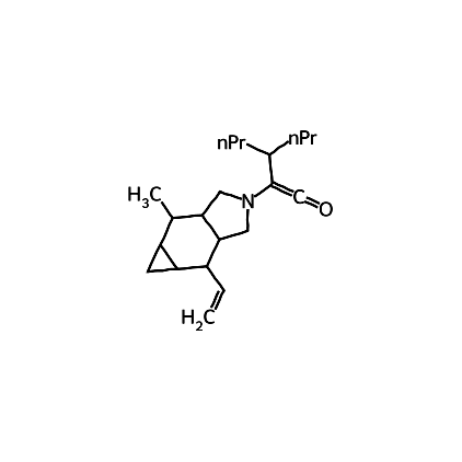 C=CC1C2CC2C(C)C2CN(C(=C=O)C(CCC)CCC)CC12